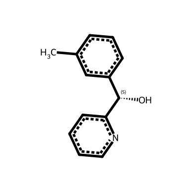 Cc1cccc([C@H](O)c2ccccn2)c1